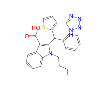 CCCCn1c(C(c2ccccc2)c2sccc2-c2nnn[nH]2)c(C(=O)O)c2ccccc21